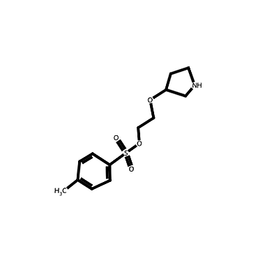 Cc1ccc(S(=O)(=O)OCCOC2CCNC2)cc1